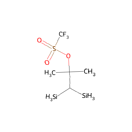 CC(C)(OS(=O)(=O)C(F)(F)F)C([SiH3])[SiH3]